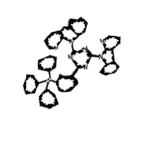 c1ccc([Si](c2ccccc2)(c2ccccc2)c2cccc(-c3nc(-n4c5ccccc5c5cccnc54)nc(-n4c5ccccc5c5cccnc54)n3)c2)cc1